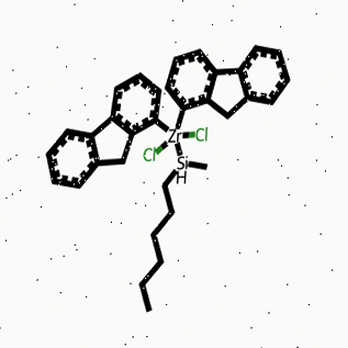 CCCCCC[SiH](C)[Zr]([Cl])([Cl])([c]1cccc2c1Cc1ccccc1-2)[c]1cccc2c1Cc1ccccc1-2